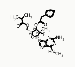 CNc1nc(N)nc2c1ncn2[C@@H]1O[C@H](COC(=O)C(C)C)[C@@H](OC(=O)Cc2ccccc2)[C@@]1(C)F